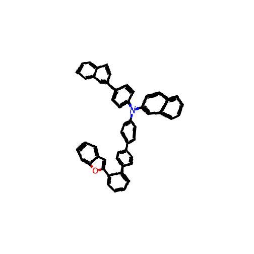 c1ccc(-c2cc3ccccc3o2)c(-c2ccc(-c3ccc(N(c4ccc(-c5ccc6ccccc6c5)cc4)c4ccc5ccccc5c4)cc3)cc2)c1